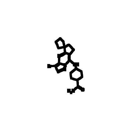 NC(=O)C1CCC(Nc2c3c(nc4c(Br)cnn24)C2(CCCC2)CC3)CC1